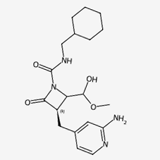 COC(O)C1[C@@H](Cc2ccnc(N)c2)C(=O)N1C(=O)NCC1CCCCC1